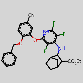 CCOC(=O)C1C2CCC(C2)C1Nc1c(F)c(F)nc(Oc2cc(C#N)ccc2OCc2ccccc2)c1F